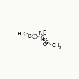 CCCS(=O)O/N=C(/c1ccc(OCC)cc1)C(F)(F)F